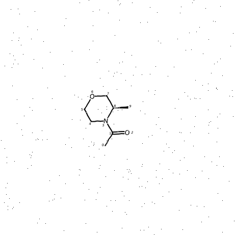 CC(=O)N1CCOC[C@H]1C